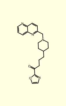 O=C(CCCC1CCN(Cc2ccc3ncccc3n2)CC1)c1ncco1